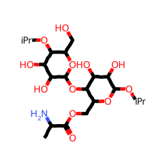 CC(C)OC1OC(COC(=O)C(C)N)C(OC2OC(CO)C(OC(C)C)C(O)C2O)C(O)C1O